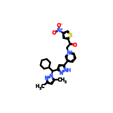 Cc1cc(C)n(C(c2cc(-c3ccc[n+](CC(=O)c4cc([N+](=O)[O-])cs4)c3)[nH]n2)C2CCCCC2)n1